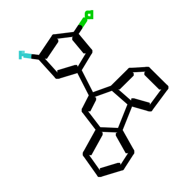 Fc1cc(Cl)cc(-c2cc3ccccc3c3ccccc23)c1